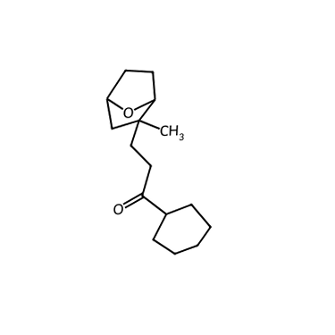 CC1(CCC(=O)C2CCCCC2)CC2CCC1O2